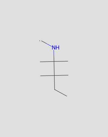 [CH2]NC(C)(C)C(C)(C)CC